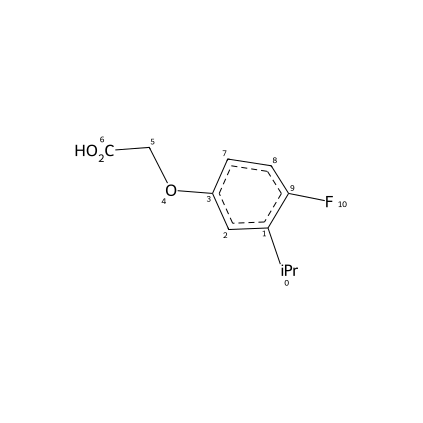 CC(C)c1cc(OCC(=O)O)ccc1F